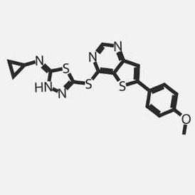 COc1ccc(-c2cc3ncnc(Sc4n[nH]/c(=N\C5CC5)s4)c3s2)cc1